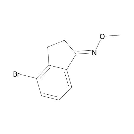 CON=C1CCc2c(Br)cccc21